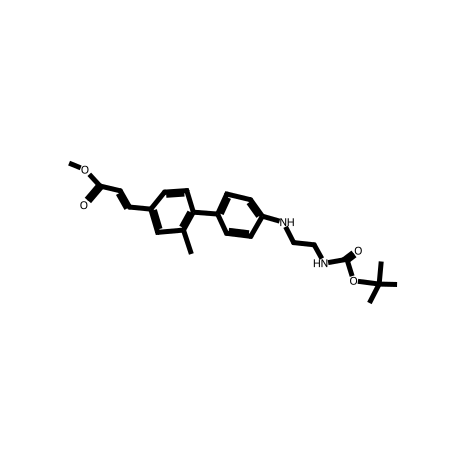 COC(=O)/C=C/c1ccc(-c2ccc(NCCNC(=O)OC(C)(C)C)cc2)c(C)c1